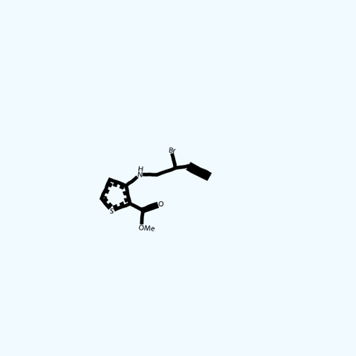 C#CC(Br)CNc1ccsc1C(=O)OC